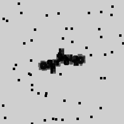 O=C(CCc1nc2ccccc2o1)Nc1cc(C2CC(NC(=O)Cc3ccccc3)C2)n[nH]1